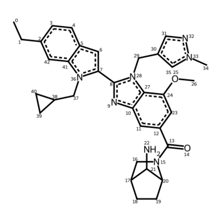 CCc1ccc2cc(-c3nc4cc(C(=O)N5CC6CCC5C6N)cc(OC)c4n3Cc3cnn(C)c3)n(CC3CC3)c2c1